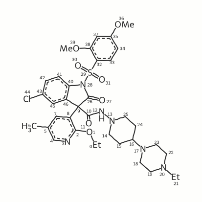 CCOc1ncc(C)cc1C1(C(=O)NN2CCC(N3CCN(CC)CC3)CC2)C(=O)N(S(=O)(=O)c2ccc(OC)cc2OC)c2ccc(Cl)cc21